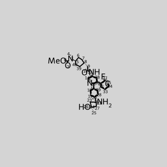 COC(=O)N(C)[C@H]1CC[C@H](CC(=O)Nc2cnc(-c3ccc([C@]4(N)C[C@](C)(O)C4)cc3)c(-c3ccccc3F)c2)CC1